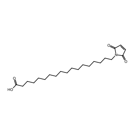 O=C(O)CCCCCCCCCCCCCCCCCN1C(=O)C=CC1=O